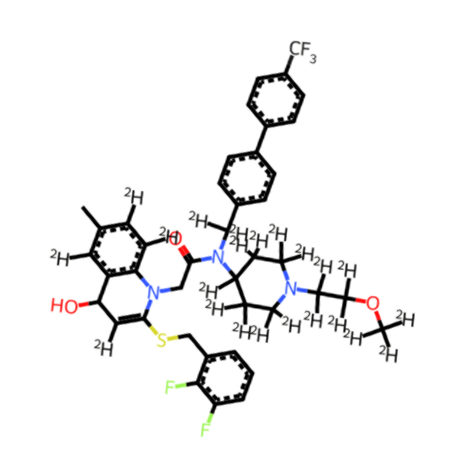 [2H]C1=C(SCc2cccc(F)c2F)N(CC(=O)N(C([2H])([2H])c2ccc(-c3ccc(C(F)(F)F)cc3)cc2)C2([2H])C([2H])([2H])C([2H])([2H])N(C([2H])([2H])C([2H])([2H])OC([2H])([2H])[2H])C([2H])([2H])C2([2H])[2H])c2c([2H])c([2H])c(C)c([2H])c2C1O